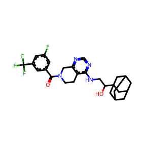 O=C(c1cc(F)cc(C(F)(F)F)c1)N1CCc2c(ncnc2NCC(O)C23CC4CC(CC(C4)C2)C3)C1